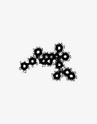 c1ccc(-c2ccc(N(c3ccccc3)c3ccc4ccc5c6c(ccc3c46)cc3c(-c4ccccc4)c(-c4ccccc4)n(-c4ccc(N(c6ccccc6)c6ccc7ccccc7c6)cc4)c35)cc2)cc1